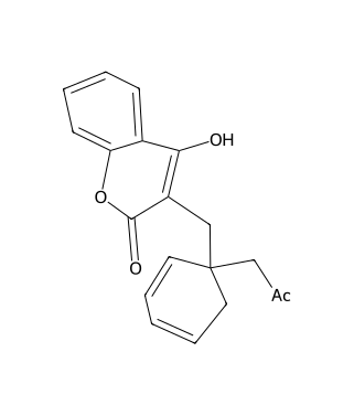 CC(=O)CC1(Cc2c(O)c3ccccc3oc2=O)C=CC=CC1